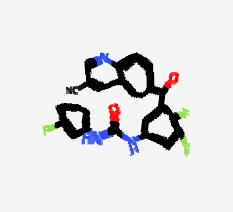 N#Cc1cnc2ccc(C(=O)c3cc(NC(=O)Nc4cccc(F)c4)cc(F)c3F)cc2c1